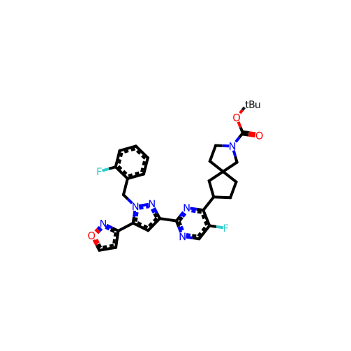 CC(C)(C)OC(=O)N1CCC2(CCC(c3nc(-c4cc(-c5ccon5)n(Cc5ccccc5F)n4)ncc3F)C2)C1